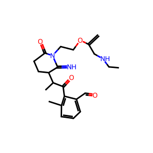 C=C(CNCC)OCCN1C(=N)C(C(C)C(=O)c2c(C)cccc2C=O)CCC1=O